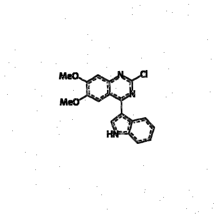 COc1cc2nc(Cl)nc(-c3c[nH]c4ccccc34)c2cc1OC